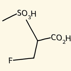 CC(CF)C(=O)O.CS(=O)(=O)O